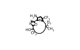 CC1(C)CCCCC[C@](O)(C(F)(F)F)c2nnc(o2)-c2nc(c(C(F)(F)F)cc2N)C1